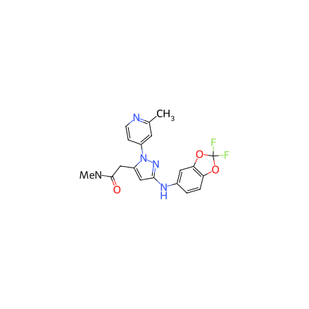 CNC(=O)Cc1cc(Nc2ccc3c(c2)OC(F)(F)O3)nn1-c1ccnc(C)c1